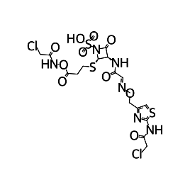 O=C(C=NOCc1csc(NC(=O)CCl)n1)N[C@@H]1C(=O)N(S(=O)(=O)O)[C@@H]1SCCC(=O)ONC(=O)CCl